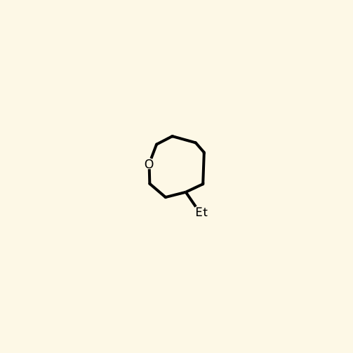 CCC1CCCCCOCC1